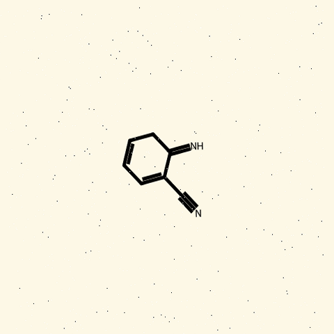 N#CC1=CC=CCC1=N